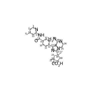 Cc1ccnc(NC(=O)c2ccc(-c3nc(C4(C)CCC(C)(C(=O)O)C4)n4ccnc(N)c34)cc2)c1